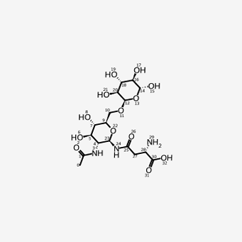 CC(=O)N[C@@H]1[C@@H](O)[C@H](O)[C@@H](CO[C@@H]2O[C@@H](O)[C@H](O)[C@@H](O)[C@@H]2O)O[C@H]1NC(=O)C[C@H](N)C(=O)O